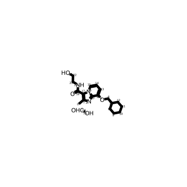 Cc1nc2c(OCC3CCCCC3)cccn2c1C(=O)NCCO.O=CO